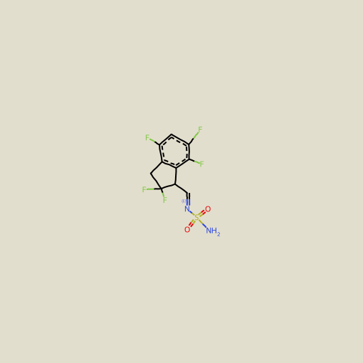 NS(=O)(=O)/N=C/C1c2c(F)c(F)cc(F)c2CC1(F)F